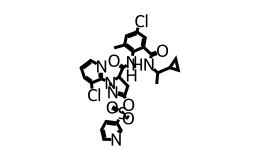 Cc1cc(Cl)cc(C(=O)NC(C)C2CC2)c1NC(=O)C1CC(OS(=O)(=O)c2cccnc2)=NN1c1ncccc1Cl